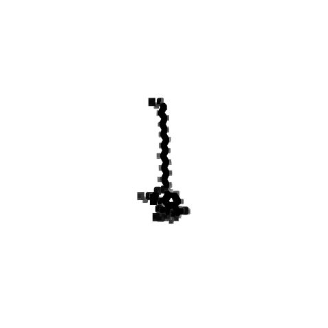 CCCCCCCCCCCCCCCCOc1ccc(C(N)=O)c(S(=O)(=O)O)c1NC(C)=O